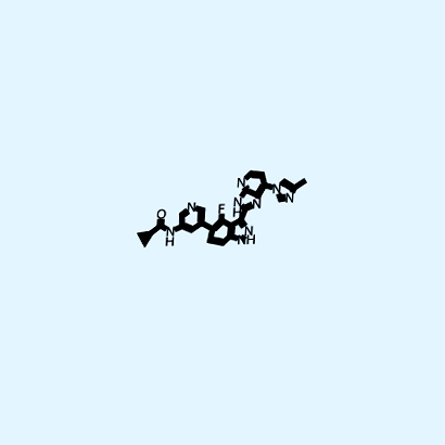 Cc1cn(-c2ccnc3[nH]c(-c4n[nH]c5ccc(-c6cncc(NC(=O)C7CC7)c6)c(F)c45)nc23)cn1